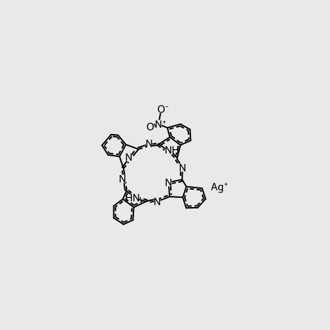 O=[N+]([O-])c1cccc2c3nc4nc(nc5[nH]c(nc6nc(nc([nH]3)c12)-c1ccccc1-6)c1ccccc51)-c1ccccc1-4.[Ag+]